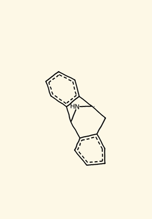 c1ccc2c(c1)C[C]1NC2c2ccccc21